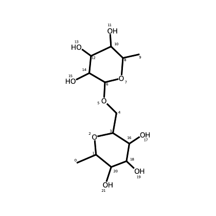 CC1OC(COC2OC(C)C(O)C(O)C2O)C(O)C(O)C1O